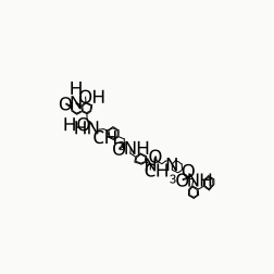 CC(Cc1ccc(CC(=O)NCc2ccc(N(C)C(=O)CCN3CCC(OC(=O)Nc4ccccc4-c4ccccc4)CC3)cc2)cc1)NC[C@H](O)c1ccc(O)c2[nH]c(=O)ccc12